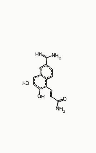 Cl.N=C(N)c1ccc2c(/C=C/C(N)=O)c(O)ccc2c1